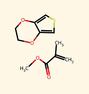 C=C(C)C(=O)OC.c1scc2c1OCCO2